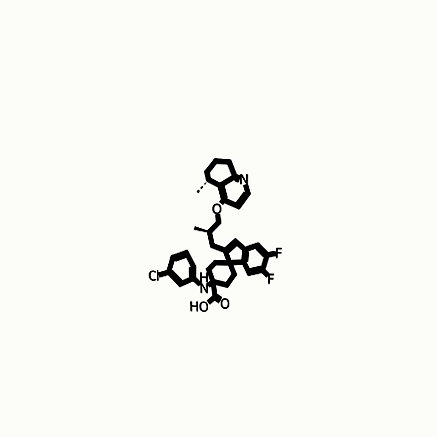 C[C@@H](COc1ccnc2c1[C@H](C)CCC2)CC1=Cc2cc(F)c(F)cc2C12CCC(Nc1cccc(Cl)c1)(C(=O)O)CC2